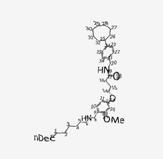 CCCCCCCCCCCCCCCCNCc1ccc(OCCCC(=O)NCc2ccc(C3CCCCCCC3)cc2)cc1OC